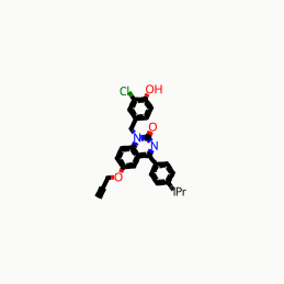 C#CCOc1ccc2c(c1)c(-c1ccc(C(C)C)cc1)nc(=O)n2Cc1ccc(O)c(Cl)c1